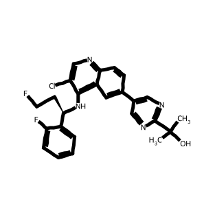 CC(C)(O)c1ncc(-c2ccc3ncc(Cl)c(N[C@H](CCF)c4ccccc4F)c3c2)cn1